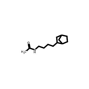 CC(=O)NCCCCC1CC2CCC1C2